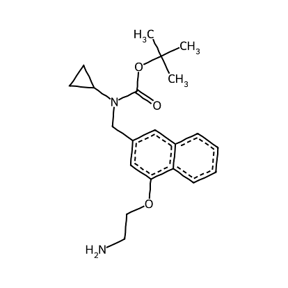 CC(C)(C)OC(=O)N(Cc1cc(OCCN)c2ccccc2c1)C1CC1